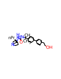 CCCC1(NC(=O)NC(C)(C)c2ccc(-c3ccc(CCO)cc3)cc2)CN2CCC1CC2